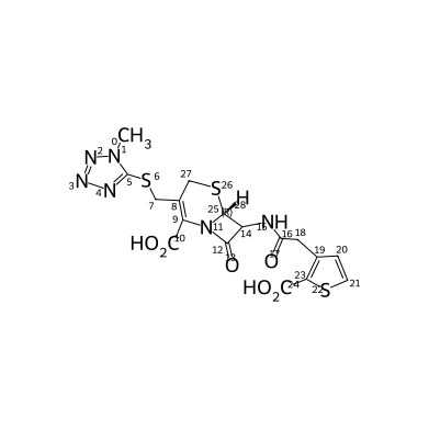 Cn1nnnc1SCC1=C(C(=O)O)N2C(=O)C(NC(=O)Cc3ccsc3C(=O)O)[C@H]2SC1